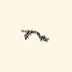 COc1cc2nn(C3CCC(CN4CCN(c5ccc6c(c5)C(=O)N(C5CCC(=O)NC5=O)C6=O)CC4)CC3)cc2cc1C(=O)Nc1cccn(C2CC2)c1=O